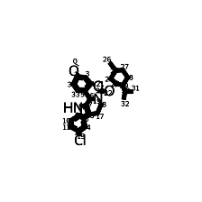 COc1ccc(C2c3[nH]c4ccc(Cl)cc4c3CCN2C(=O)OC2CC(C)CCC2C(C)C)cc1